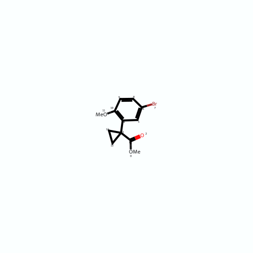 COC(=O)C1(c2cc(Br)ccc2OC)CC1